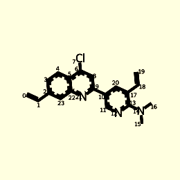 C=Cc1ccc2c(Cl)cc(-c3cnc(N(C)C)c(C=C)c3)nc2c1